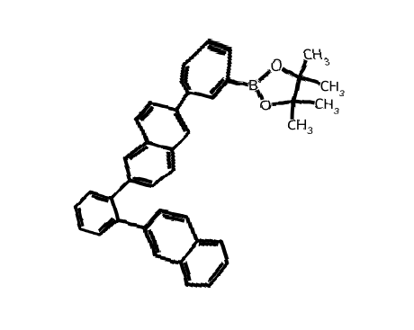 CC1(C)OB(c2cccc(-c3ccc4cc(-c5ccccc5-c5ccc6ccccc6c5)ccc4c3)c2)OC1(C)C